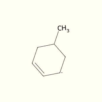 CC1C[CH]C=CC1